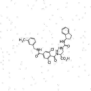 Cc1cccc(CNC(=O)c2cc(Cl)c(C(=O)N[C@@H](CNC(=O)N[C@@H]3CCc4ccccc43)C(=O)O)c(Cl)c2)c1